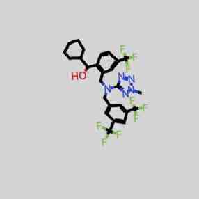 Cn1nnc(N(Cc2cc(C(F)(F)F)cc(C(F)(F)F)c2)Cc2cc(C(F)(F)F)ccc2C(O)C2CCCCC2)n1